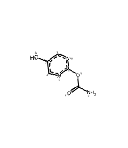 NC(=O)Oc1ncc(O)cn1